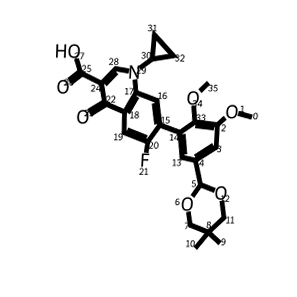 COc1cc(C2OCC(C)(C)CO2)cc(-c2cc3c(cc2F)c(=O)c(C(=O)O)cn3C2CC2)c1OC